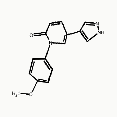 COc1ccc(-n2cc(-c3cn[nH]c3)ccc2=O)cc1